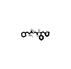 N[C@H](CC1CCCCC1)C(=O)NCC(=O)NC(Cc1ccccn1)c1ccccc1